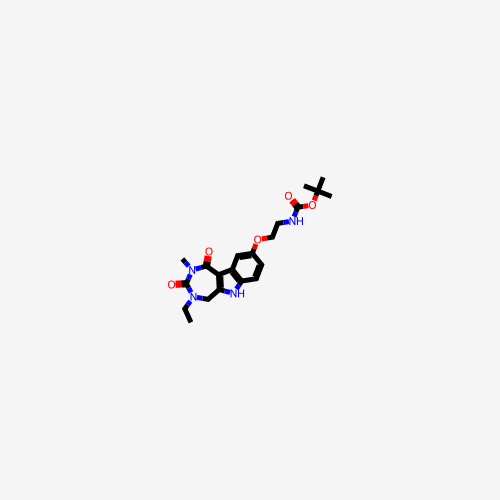 CCN1Cc2[nH]c3ccc(OCCNC(=O)OC(C)(C)C)cc3c2C(=O)N(C)C1=O